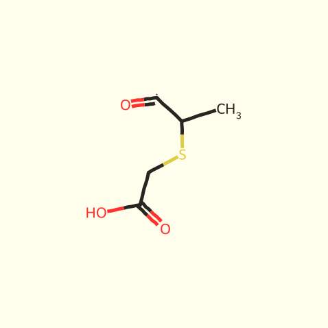 CC([C]=O)SCC(=O)O